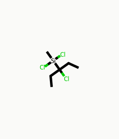 CCC(Cl)(CC)[Si](C)(Cl)Cl